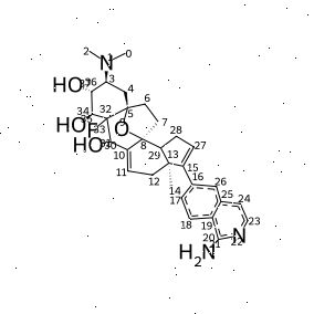 CN(C)[C@H]1C[C@@]23CC[C@@]4(O2)C(=CC[C@]2(C)C(c5ccc6c(N)nccc6c5)=CCC24)C(O)C3(F)[C@@H](O)[C@@H]1O